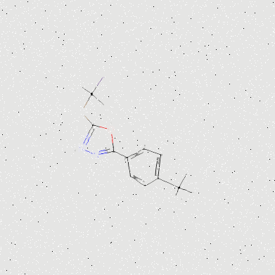 CC(C)(I)Sc1nnc(-c2ccc(C(C)(C)C)cc2)o1